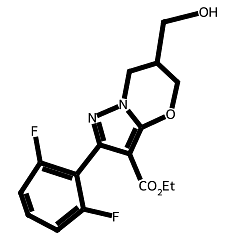 CCOC(=O)c1c(-c2c(F)cccc2F)nn2c1OCC(CO)C2